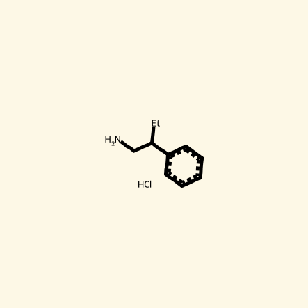 C[14CH2]C(CN)c1ccccc1.Cl